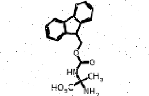 CC(N)(NC(=O)OCC1c2ccccc2-c2ccccc21)C(=O)O